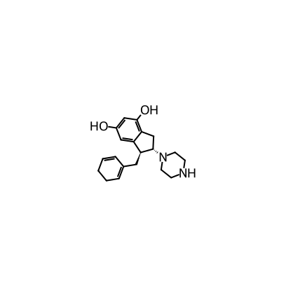 Oc1cc(O)c2c(c1)[C@H](CC1=CCCC=C1)[C@@H](N1CCNCC1)C2